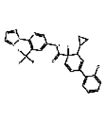 O=C(Nc1cnc(-n2nccn2)c(C(F)(F)F)c1)C1(F)C=CC(c2ccccc2Cl)=CC1C1CC1